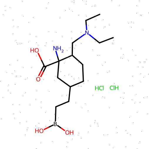 CCN(CC)CC1CCC(CCB(O)O)CC1(N)C(=O)O.Cl.Cl